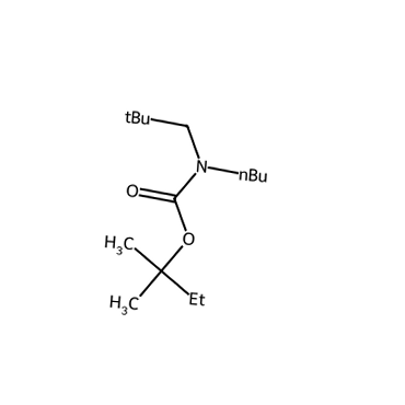 CCCCN(CC(C)(C)C)C(=O)OC(C)(C)CC